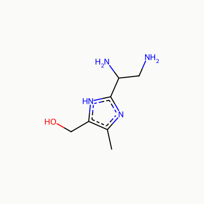 Cc1nc(C(N)CN)[nH]c1CO